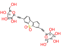 O=S1(=O)c2cc(C#C[C@H]3O[C@H](CO)[C@@H](O)[C@H](O)[C@@H]3O)ccc2-c2ccc(C#C[C@H]3O[C@H](CO)[C@@H](O)[C@H](O)[C@@H]3O)cc21